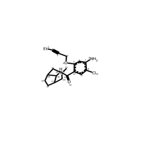 CCC#CCOc1cc(N)c(Cl)cc1C(=O)NC1C2CCC1CN(C)C2